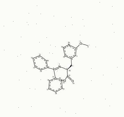 COc1cc(C[C@H](N=C(c2ccccc2)c2ccccc2)C(=O)O)ccn1